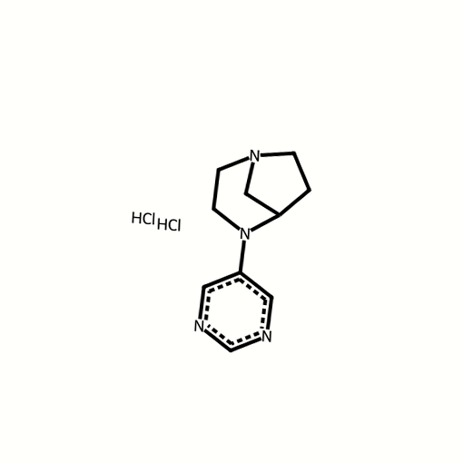 Cl.Cl.c1ncc(N2CCN3CCC2C3)cn1